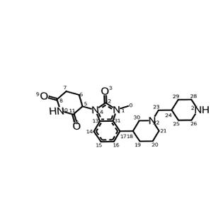 Cn1c(=O)n(C2CCC(=O)NC2=O)c2cccc(C3CCCN(CC4CCNCC4)C3)c21